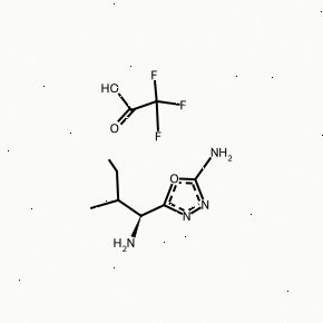 CCC(C)[C@H](N)c1nnc(N)o1.O=C(O)C(F)(F)F